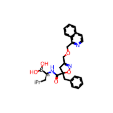 CC(C)C[C@H](NC(=O)C1(Cc2ccccc2)CC(COCc2nccc3ccccc23)=NO1)B(O)O